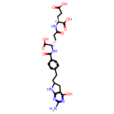 Nc1nc(O)c2c(n1)NC(CCc1ccc(C(=O)N[C@@H](CCC(=O)N[C@@H](CCC(=O)O)C(=O)O)C(=O)O)cc1)C2